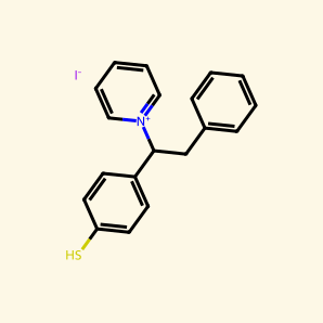 Sc1ccc(C(Cc2ccccc2)[n+]2ccccc2)cc1.[I-]